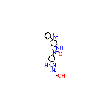 CN(CCO)c1nc2cc(N3C[C@]4(CC[C@@](c5ccccc5)(N(C)C)CC4)NC3=O)ccc2[nH]1